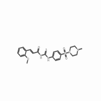 COc1ccccc1/C=C/C(=O)NC(=S)Nc1ccc(S(=O)(=O)N2CCN(C)CC2)cc1